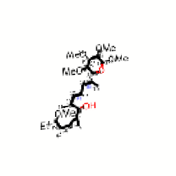 CC[C@H](OC)[C@@H](C)[C@H]1CC1[C@H](O)[C@@H](C)/C=C/C=C(\C)[C@H]1O[C@@H](OC)[C@H](OC)[C@@H](OC)[C@@H]1OC